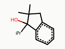 CC(C)C1(O)c2ccccc2CC1(C)C